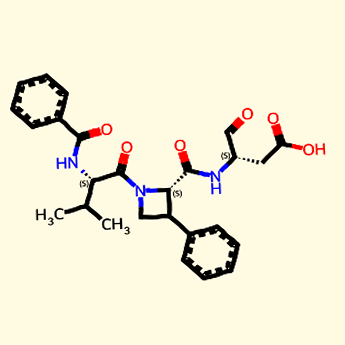 CC(C)[C@H](NC(=O)c1ccccc1)C(=O)N1CC(c2ccccc2)[C@H]1C(=O)N[C@H](C=O)CC(=O)O